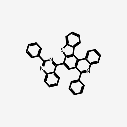 c1ccc(-c2nc(-c3cc4c(-c5ccccc5)nc5ccccc5c4c4c3sc3ccccc34)c3ccccc3n2)cc1